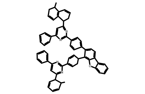 CC1CC=CC2=C1C=CCC2c1cc(-c2ccccc2)nc(-c2ccc(-c3ccc4c(oc5ccccc54)c3C3C=CC(c4nc(-c5ccccc5)cc(C5C=CC=CC5C)n4)=CC3)cc2)n1